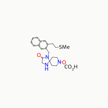 CSCCc1cc2ccccc2cc1CN1C(=O)CNC12CCN(OC(=O)O)CC2